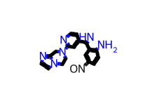 N=C(c1ccnc(N2CCn3ccnc3C2)c1)c1cc(N=O)ccc1N